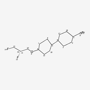 CCCC1CCC([C]2CCC(OC[C@H](F)CF)CC2)CC1